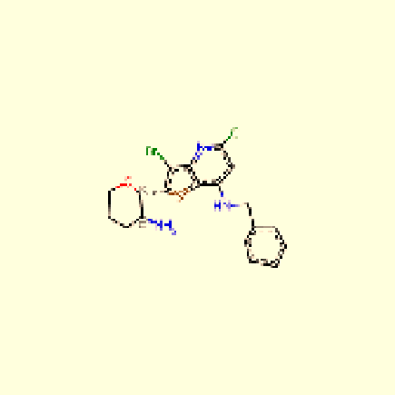 N[C@H]1CCCO[C@@H]1c1sc2c(NCc3ccccc3)cc(Cl)nc2c1Br